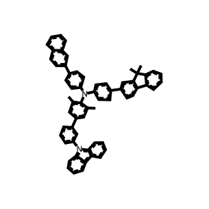 Cc1cc(-c2cccc(-n3c4ccccc4c4ccccc43)c2)cc(C)c1N(c1ccc(-c2ccc3c(c2)C(C)(C)c2ccccc2-3)cc1)c1ccc(-c2ccc3ccccc3c2)cc1